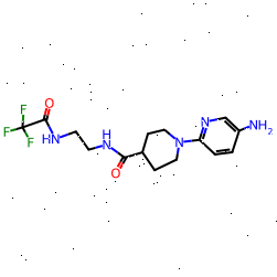 Nc1ccc(N2CCC(C(=O)NCCNC(=O)C(F)(F)F)CC2)nc1